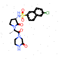 C[C@@H](C(=O)N1CCNC(=O)C1)N1CC[C@H](NS(=O)(=O)c2ccc3cc(Cl)ccc3c2)C1=O